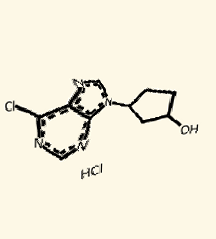 Cl.OC1CCC(n2cnc3c(Cl)ncnc32)C1